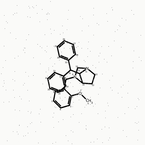 COc1ccccc1CN1CN2CCC1C2C(c1ccccc1)c1ccccc1